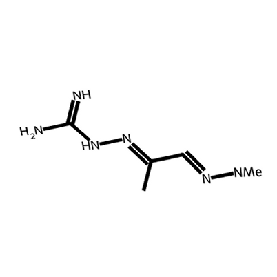 CN/N=C/C(C)=N/NC(=N)N